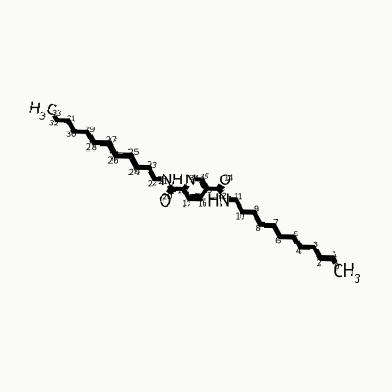 CCCCCCCCCCCCNC(=O)c1ccc(C(=O)NCCCCCCCCCCCC)nc1